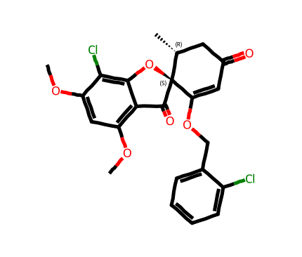 COc1cc(OC)c2c(c1Cl)O[C@]1(C2=O)C(OCc2ccccc2Cl)=CC(=O)C[C@H]1C